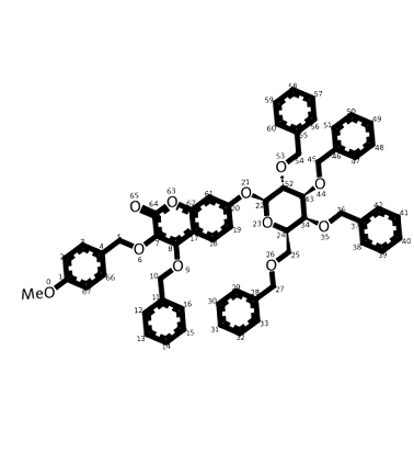 COc1ccc(COc2c(OCc3ccccc3)c3ccc(O[C@@H]4O[C@H](COCc5ccccc5)[C@H](OCc5ccccc5)[C@H](OCc5ccccc5)[C@H]4OCc4ccccc4)cc3oc2=O)cc1